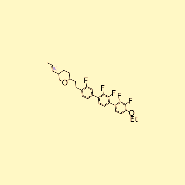 C/C=C/C1CCC(CCc2ccc(-c3ccc(-c4ccc(OCC)c(F)c4F)c(F)c3F)cc2F)OC1